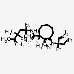 C=CC(CC)(CC(C)C)n1nnc2c1CCCCCC2(C)C(=C)NC(C)(CC)CC(C)(CC)C(=C)C